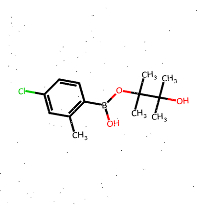 Cc1cc(Cl)ccc1B(O)OC(C)(C)C(C)(C)O